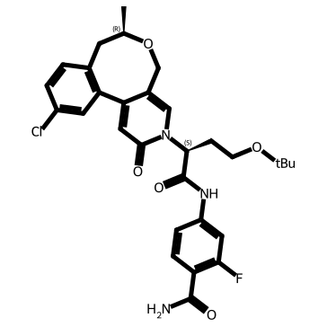 C[C@@H]1Cc2ccc(Cl)cc2-c2cc(=O)n([C@@H](CCOC(C)(C)C)C(=O)Nc3ccc(C(N)=O)c(F)c3)cc2CO1